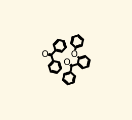 O=C(c1ccccc1)c1ccccc1.O=C(c1ccccc1)c1ccccc1Oc1ccccc1